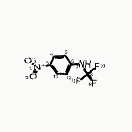 O=[N+]([O-])c1ccc(NC(F)(F)F)cc1